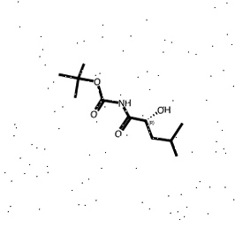 CC(C)C[C@@H](O)C(=O)NC(=O)OC(C)(C)C